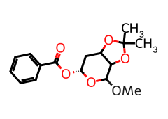 COC1O[C@H](OC(=O)c2ccccc2)CC2OC(C)(C)OC21